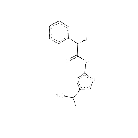 CC(C)c1cnc(NC(=O)[C@H](F)c2ccccc2)s1